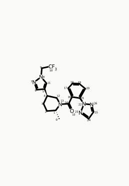 C[C@@H]1CC[C@@H](c2cnn(CC(F)(F)F)c2)CN1C(=O)c1ccccc1-n1nccn1